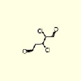 O=CCC(Cl)C(Cl)C=O